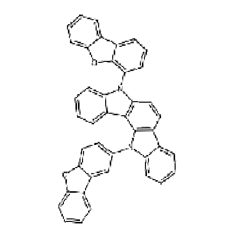 c1ccc2c(c1)oc1ccc(-n3c4ccccc4c4ccc5c(c6ccccc6n5-c5cccc6c5oc5ccccc56)c43)cc12